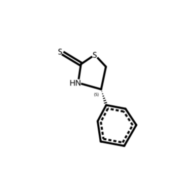 S=C1N[C@@H](c2ccccc2)CS1